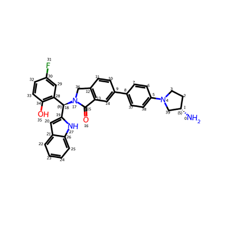 N[C@H]1CCN(c2ccc(-c3ccc4c(c3)C(=O)N([C@@H](c3cc5ccccc5[nH]3)c3cc(F)ccc3O)C4)cc2)C1